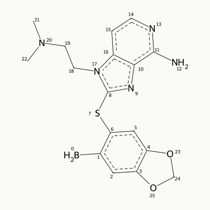 Bc1cc2c(cc1Sc1nc3c(N)nccc3n1CCN(C)C)OCO2